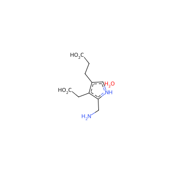 NCc1[nH]cc(CCC(=O)O)c1CC(=O)O.O